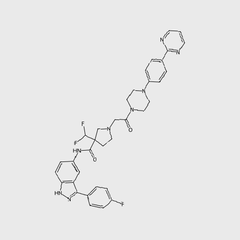 O=C(CN1CCC(C(=O)Nc2ccc3[nH]nc(-c4ccc(F)cc4)c3c2)(C(F)F)C1)N1CCN(c2ccc(-c3ncccn3)cc2)CC1